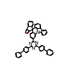 c1ccc(-c2ccc(-c3nc(-c4ccc(-c5ccccc5)cc4)nc(-c4ccc5c(c4)-n4c6ccccc6c6cccc(c64)C54c5ccccc5-c5ccccc54)n3)cc2)cc1